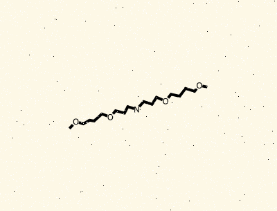 COCCCCOCCC[N]CCCOCCCCOC